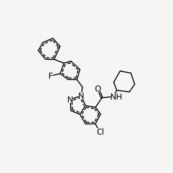 O=C(NC1CCCCC1)c1cc(Cl)cc2cnn(Cc3ccc(-c4ccccc4)c(F)c3)c12